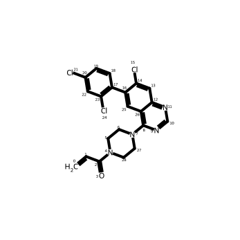 C=CC(=O)N1CCN(c2ncnc3cc(Cl)c(-c4ccc(Cl)cc4Cl)cc23)CC1